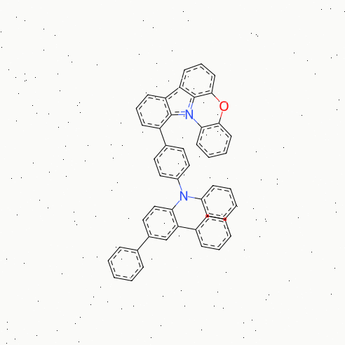 c1ccc(-c2ccc(N(c3ccccc3)c3ccc(-c4cccc5c6cccc7c6n(c45)-c4ccccc4O7)cc3)c(-c3ccccc3)c2)cc1